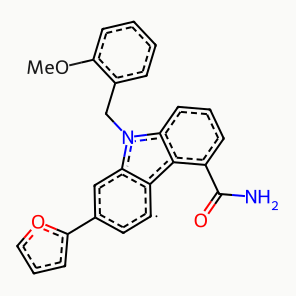 COc1ccccc1Cn1c2cc(-c3ccco3)c[c]c2c2c(C(N)=O)cccc21